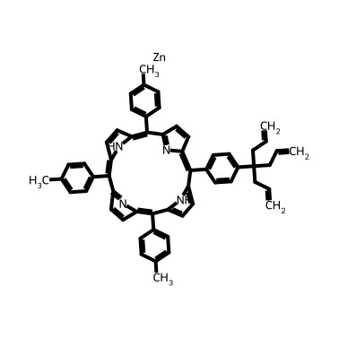 C=CCC(CC=C)(CC=C)c1ccc(-c2c3nc(c(-c4ccc(C)cc4)c4ccc([nH]4)c(-c4ccc(C)cc4)c4nc(c(-c5ccc(C)cc5)c5ccc2[nH]5)C=C4)C=C3)cc1.[Zn]